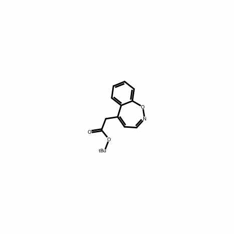 CC(C)(C)OC(=O)CC1=CC=NOc2ccccc21